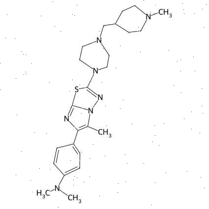 Cc1c(-c2ccc(N(C)C)cc2)nc2sc(N3CCN(CC4CCN(C)CC4)CC3)nn12